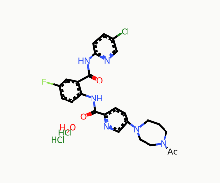 CC(=O)N1CCCN(c2ccc(C(=O)Nc3ccc(F)cc3C(=O)Nc3ccc(Cl)cn3)nc2)CC1.Cl.Cl.O